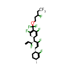 C=CC(F)[C@@H](/C(F)=C\C[C@H]1CC[C@@H](C)C=C1F)[C@H]1C=C(F)C(C(F)(F)OCCC(F)CC(F)(F)F)=C(F)C1